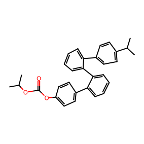 CC(C)OC(=O)Oc1ccc(-c2ccccc2-c2ccccc2-c2ccc(C(C)C)cc2)cc1